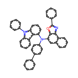 c1ccc(-c2ccc(N(c3cc4ccccc4c4nc(-c5ccccc5)oc34)c3cccc4c3c3ccccc3n4-c3ccccc3)cc2)cc1